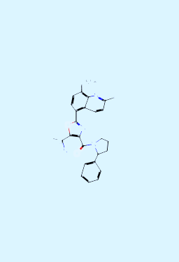 COc1ccc(-c2nc(C(=O)N3CCCC3c3ccccc3)c([C@H](C)N)o2)c2ccc(C(F)(F)F)nc12